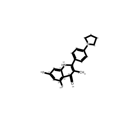 Cc1c(-c2ccc(N3CCCC3)cc2)[nH]c2cc(F)cc(F)c2c1=O